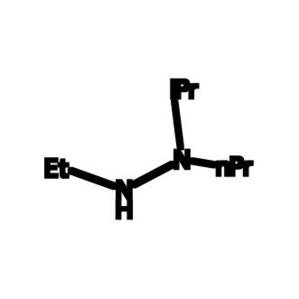 CCCN(NCC)C(C)C